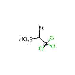 CCC([Si](Cl)(Cl)Cl)S(=O)(=O)O